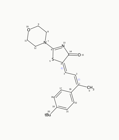 C/C(=C/C=C1/SC(N2CCOCC2)=NC1=O)c1ccc(C(C)(C)C)cc1